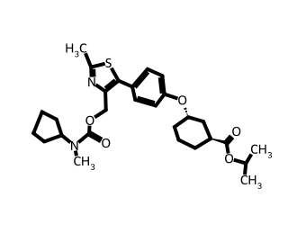 Cc1nc(COC(=O)N(C)C2CCCC2)c(-c2ccc(O[C@H]3CCC[C@H](C(=O)OC(C)C)C3)cc2)s1